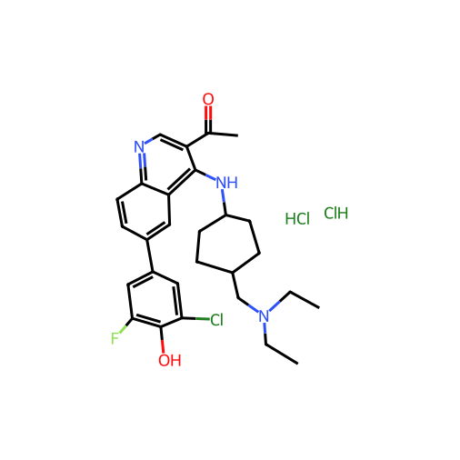 CCN(CC)CC1CCC(Nc2c(C(C)=O)cnc3ccc(-c4cc(F)c(O)c(Cl)c4)cc23)CC1.Cl.Cl